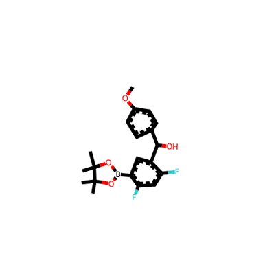 COc1ccc(C(O)c2cc(B3OC(C)(C)C(C)(C)O3)c(F)cc2F)cc1